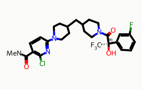 CNC(=O)c1ccc(N2CCC(CC3CCN(C(=O)[C@](O)(c4cccc(F)c4)C(F)(F)F)CC3)CC2)nc1Cl